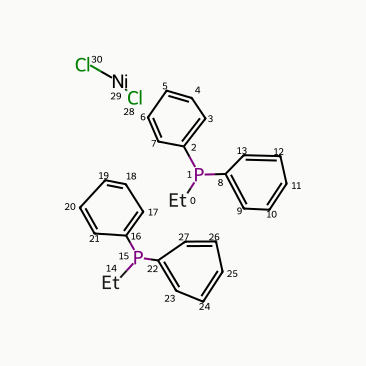 CCP(c1ccccc1)c1ccccc1.CCP(c1ccccc1)c1ccccc1.[Cl][Ni][Cl]